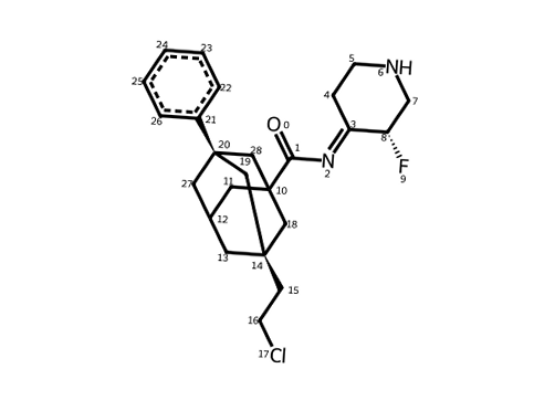 O=C(/N=C1\CCNC[C@@H]1F)C12CC3C[C@@](CCCl)(C1)C[C@](c1ccccc1)(C3)C2